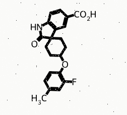 Cc1ccc(OC2CCC3(CC2)C(=O)Nc2ccc(C(=O)O)cc23)c(F)c1